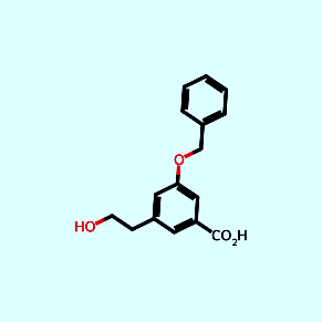 O=C(O)c1cc(CCO)cc(OCc2ccccc2)c1